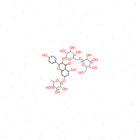 CC1O[C@@H](Oc2cc(O)c3c(=O)c(O[C@@H]4OC(CO[C@@H]5OC(CO)[C@@H](O)[C@H](O)C5O)[C@@H](O)C(O)C4O)c(-c4ccc(O)cc4)oc3c2)C(O)[C@@H](O)[C@H]1O